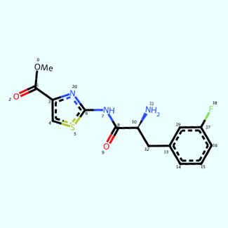 COC(=O)c1csc(NC(=O)[C@@H](N)Cc2cccc(F)c2)n1